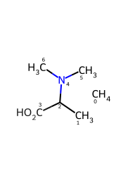 C.CC(C(=O)O)N(C)C